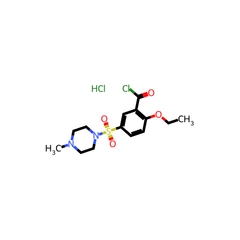 CCOc1ccc(S(=O)(=O)N2CCN(C)CC2)cc1C(=O)Cl.Cl